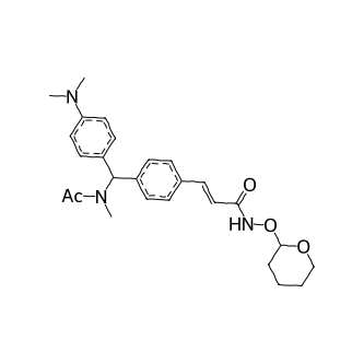 CC(=O)N(C)C(c1ccc(/C=C/C(=O)NOC2CCCCO2)cc1)c1ccc(N(C)C)cc1